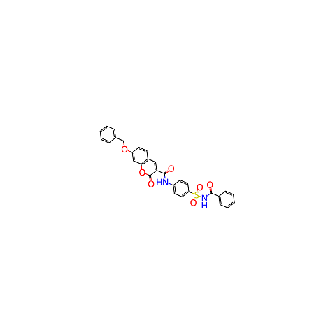 O=C(NS(=O)(=O)c1ccc(NC(=O)c2cc3ccc(OCc4ccccc4)cc3oc2=O)cc1)c1ccccc1